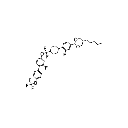 CCCCCC1COC(c2ccc(C3CCC(C(F)(F)Oc4ccc(-c5ccc(OC(F)(F)F)cc5)c(F)c4)CC3)c(F)c2)OC1